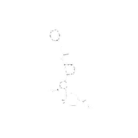 COC(=O)N1CC[C@](CC(=O)NO)(c2ccc(-c3cccc(NC(=O)COc4ccccc4)c3)s2)S(=O)(=O)CC1